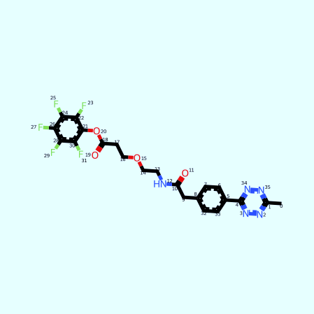 Cc1nnc(-c2ccc(CC(=O)NCCOCCC(=O)Oc3c(F)c(F)c(F)c(F)c3F)cc2)nn1